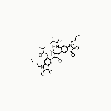 CCCCN1C(=O)C(=O)c2cc(C3=C([O-])/C(=c4\cc5c(cc4NC(=O)C(C)C)=[N+](CCCC)C(=O)C5=O)C3=O)c(NC(=O)C(C)C)cc21